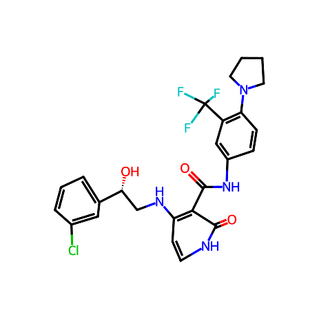 O=C(Nc1ccc(N2CCCC2)c(C(F)(F)F)c1)c1c(NC[C@@H](O)c2cccc(Cl)c2)cc[nH]c1=O